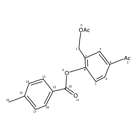 CC(=O)OCc1cc(C(C)=O)ccc1OC(=O)c1ccc(C)cc1